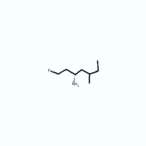 CCC(C)C[C@H](N)CCF